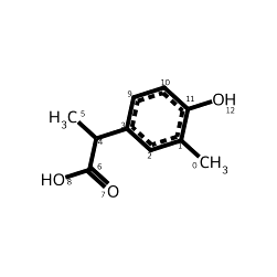 Cc1cc(C(C)C(=O)O)ccc1O